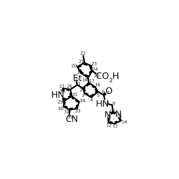 CCC(c1ccc(C(=O)NCc2ncccn2)cc1-c1ccc(C)cc1C(=O)O)c1c[nH]c2cc(C#N)ccc12